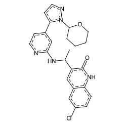 CC(Nc1cc(-c2ccnn2C2CCCCO2)ccn1)c1cc2cc(Cl)ccc2[nH]c1=O